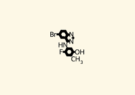 Cc1cc(F)c(Nc2ncnc3ccc(Br)cc23)cc1O